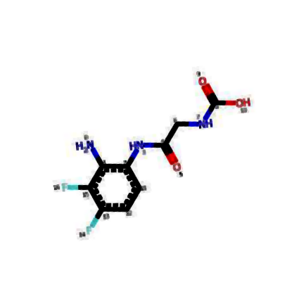 Nc1c(NC(=O)CNC(=O)O)ccc(F)c1F